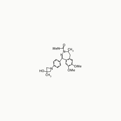 CNC(=O)N1N=C(c2ccc(N3CC(C)(O)C3)cc2)c2cc(OC)c(OC)cc2C[C@@H]1C